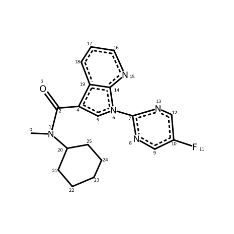 CN(C(=O)c1cn(-c2ncc(F)cn2)c2ncccc12)C1CCCCC1